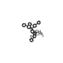 C[Si]1(C)c2cc(N(c3ccc(-c4ccccc4)cc3)c3ccc(-c4ccccc4)c4ccccc34)ccc2-c2c1ccc1c2sc2ccccc21